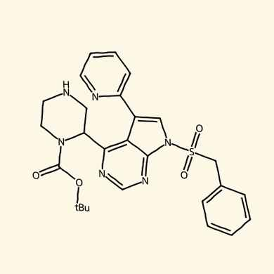 CC(C)(C)OC(=O)N1CCNCC1c1ncnc2c1c(-c1ccccn1)cn2S(=O)(=O)Cc1ccccc1